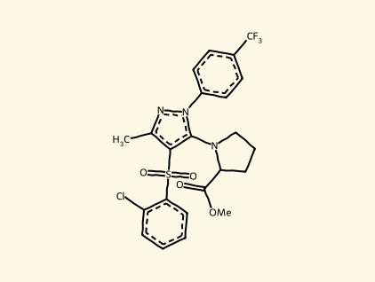 COC(=O)C1CCCN1c1c(S(=O)(=O)c2ccccc2Cl)c(C)nn1-c1ccc(C(F)(F)F)cc1